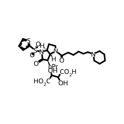 CCC[C@H]1C(=O)N(S(=O)(=O)c2cccs2)[C@H]2CCN(C(=O)CCCCCN3CCCCC3)[C@H]12.O=C(O)C(O)C(O)C(=O)O